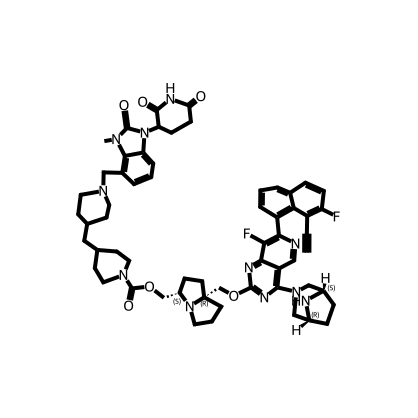 C#Cc1c(F)ccc2cccc(-c3ncc4c(N5C[C@H]6CC[C@@H](C5)N6)nc(OC[C@]56CCCN5[C@H](COC(=O)N5CCC(CC7CCN(Cc8cccc9c8n(C)c(=O)n9C8CCC(=O)NC8=O)CC7)CC5)CC6)nc4c3F)c12